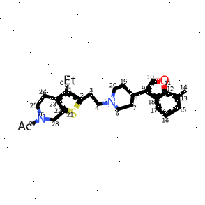 CCc1c(CCN2CCC(c3coc4c(C)cccc34)CC2)sc2c1CCN(C(C)=O)C2